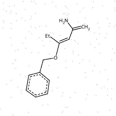 C=C(N)/C=C(\CC)OCc1ccccc1